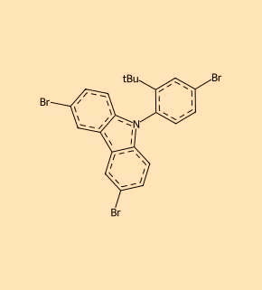 CC(C)(C)c1cc(Br)ccc1-n1c2ccc(Br)cc2c2cc(Br)ccc21